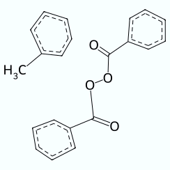 Cc1ccccc1.O=C(OOC(=O)c1ccccc1)c1ccccc1